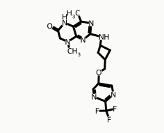 Cc1nc(NC2CC(COc3cnc(C(F)(F)F)nc3)C2)nc2c1NC(=O)CN2C